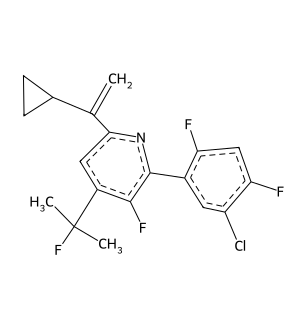 C=C(c1cc(C(C)(C)F)c(F)c(-c2cc(Cl)c(F)cc2F)n1)C1CC1